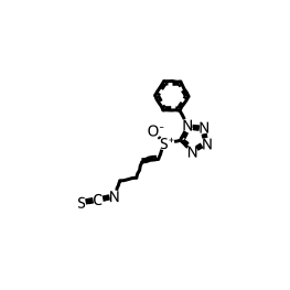 [O-][S+](/C=C/CCN=C=S)c1nnnn1-c1ccccc1